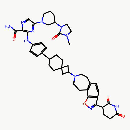 CN1CCN([C@@H]2CCCN(c3cnc(C(N)=O)c(Nc4ccc(C5CCC6(CC5)CC(N5CCc7ccc8c(C9CCC(=O)NC9=O)noc8c7CC5)C6)cc4)n3)C2)C1=O